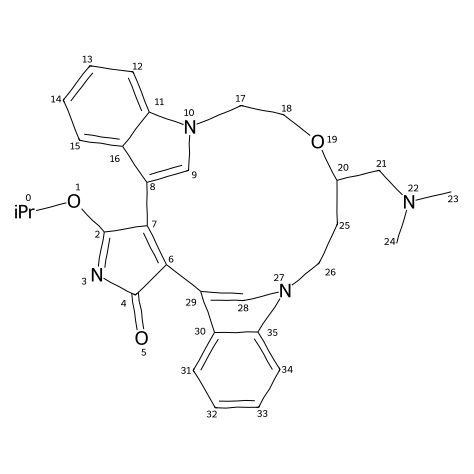 CC(C)OC1=NC(=O)C2=C1c1cn(c3ccccc13)CCOC(CN(C)C)CCn1cc2c2ccccc21